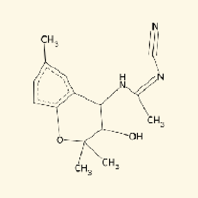 C/C(=N/C#N)NC1c2cc(C)ccc2OC(C)(C)C1O